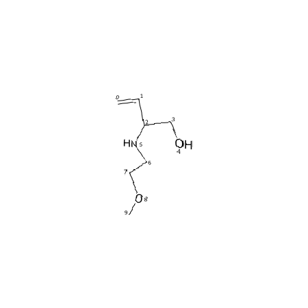 C=CC(CO)NCCOC